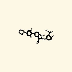 Cc1ccc(Oc2[nH]c3ccc(-c4c(F)cc(N5CCOCC5)cc4F)cc3c2C#N)cc1C(=O)O